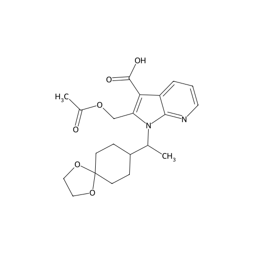 CC(=O)OCc1c(C(=O)O)c2cccnc2n1C(C)C1CCC2(CC1)OCCO2